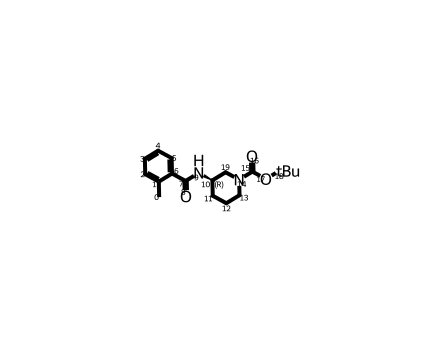 Cc1ccccc1C(=O)N[C@@H]1CCCN(C(=O)OC(C)(C)C)C1